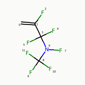 C=C(F)C(F)(F)N(F)C(F)(F)F